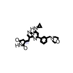 O=C1C/C(=C\c2cnn3c(NC4CC4)cc(-c4cccc(CN5CCOCC5)c4)nc23)C(=O)N1